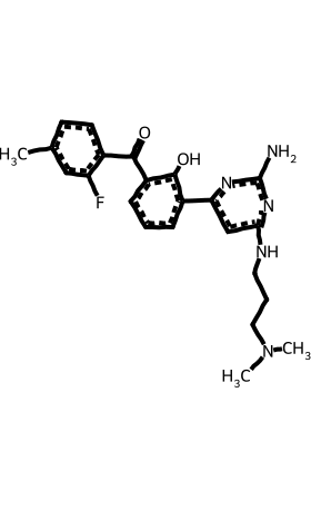 Cc1ccc(C(=O)c2cccc(-c3cc(NCCCN(C)C)nc(N)n3)c2O)c(F)c1